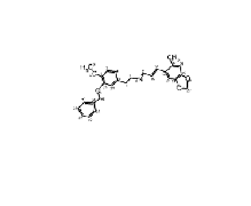 COc1ccc(CC/N=C/C=C/c2cc3c(cc2C)OCO3)cc1OCc1ccccc1